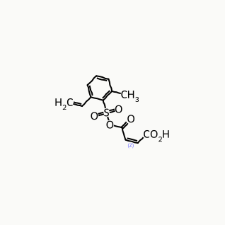 C=Cc1cccc(C)c1S(=O)(=O)OC(=O)/C=C\C(=O)O